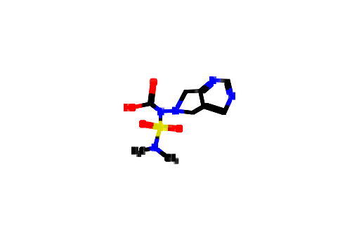 CN(C)S(=O)(=O)N(C(=O)O)N1Cc2cncnc2C1